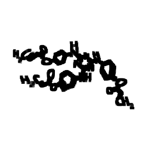 C=CC(=O)Oc1ccc(Nc2nc(Nc3ccc(OC(=O)C=C)cc3)nc(Nc3ccc(OC(=O)C=C)cc3)n2)cc1